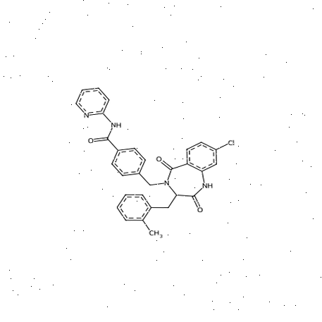 Cc1ccccc1CC1C(=O)Nc2cc(Cl)ccc2C(=O)N1Cc1ccc(C(=O)Nc2ccccn2)cc1